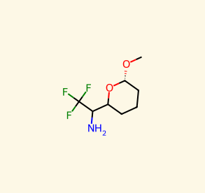 CO[C@@H]1CCCC(C(N)C(F)(F)F)O1